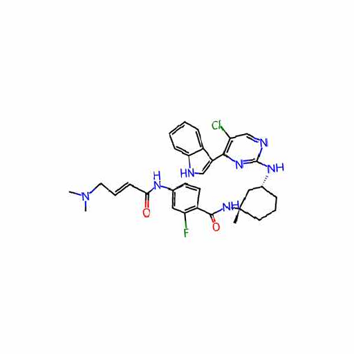 CN(C)C/C=C/C(=O)Nc1ccc(C(=O)N[C@@]2(C)CCC[C@@H](Nc3ncc(Cl)c(-c4c[nH]c5ccccc45)n3)C2)c(F)c1